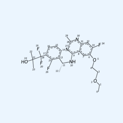 CCOCCOc1cc2c(N[C@H](C)c3cccc(C(F)(F)C(C)(C)O)c3F)nc(C)nc2cc1F